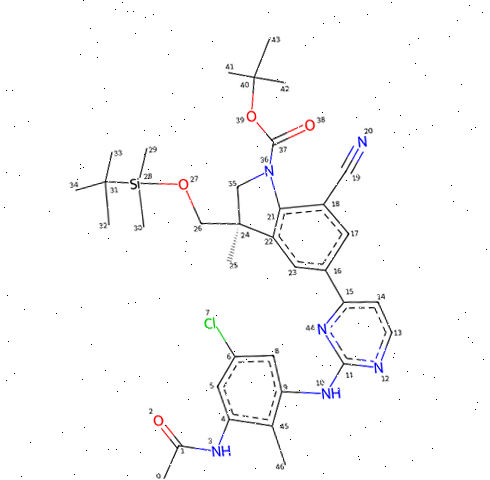 CC(=O)Nc1cc(Cl)cc(Nc2nccc(-c3cc(C#N)c4c(c3)[C@@](C)(CO[Si](C)(C)C(C)(C)C)CN4C(=O)OC(C)(C)C)n2)c1C